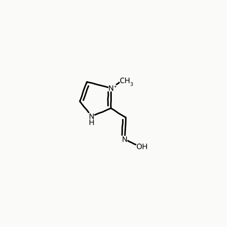 C[n+]1cc[nH]c1C=NO